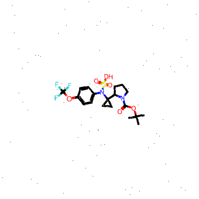 CC(C)(C)OC(=O)N1CCCC1C1(N(c2ccc(OC(F)(F)F)cc2)S(=O)(=O)O)CC1